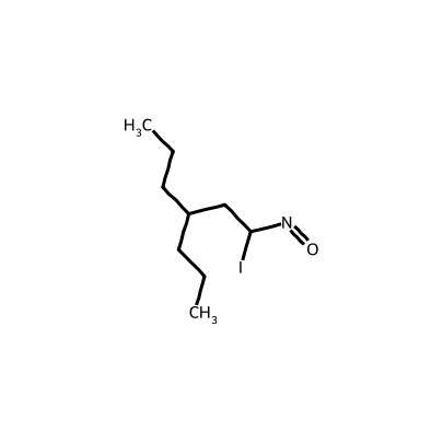 CCCC(CCC)CC(I)N=O